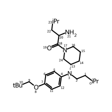 CC(C)CCN(c1ccc(OCC(C)(C)C)cc1)[C@H]1CCCN(C(=O)C(N)CC(C)C)C1